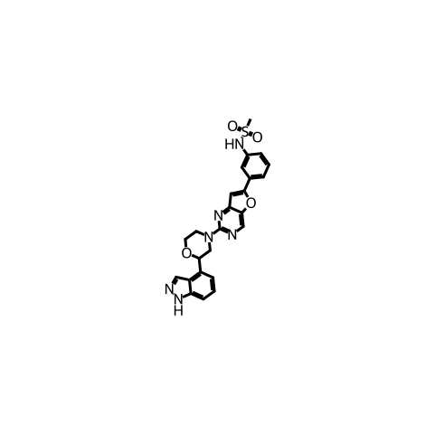 CS(=O)(=O)Nc1cccc(-c2cc3nc(N4CCOC(c5cccc6[nH]ncc56)C4)ncc3o2)c1